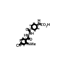 CNc1cc(Cl)ncc1C(=O)NNC(=O)[C@H]1CC[C@H](NC(=O)O)CC1